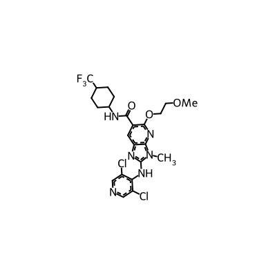 COCCOc1nc2c(cc1C(=O)NC1CCC(C(F)(F)F)CC1)nc(Nc1c(Cl)cncc1Cl)n2C